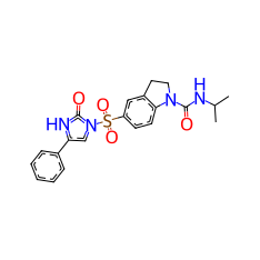 CC(C)NC(=O)N1CCc2cc(S(=O)(=O)n3cc(-c4ccccc4)[nH]c3=O)ccc21